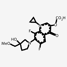 COCC1(O)CCN(c2c(F)cc3c(=O)c(OC(=O)O)cn(C4CC4)c3c2F)C1